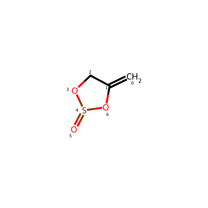 C=C1COS(=O)O1